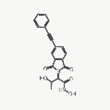 CC(O)C(C(=O)NO)N1C(=O)c2ccc(C#Cc3ccccc3)cc2C1=O